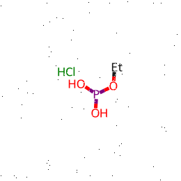 CCOP(O)O.Cl